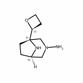 NN1C[C@H]2CC[C@@]([C@@H]3CCO3)(C1)N2